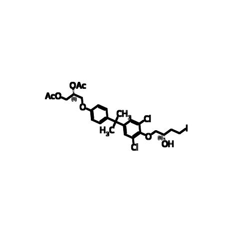 CC(=O)OC[C@@H](COc1ccc(C(C)(C)c2cc(Cl)c(OC[C@@H](O)CCI)c(Cl)c2)cc1)OC(C)=O